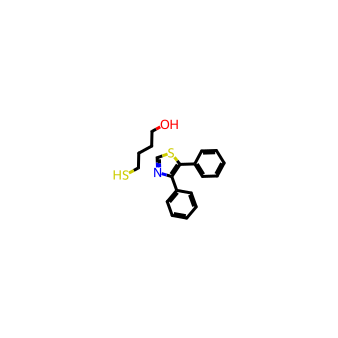 OCCCCS.c1ccc(-c2ncsc2-c2ccccc2)cc1